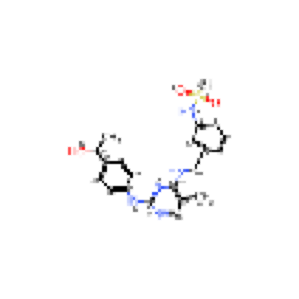 CCS(=O)(=O)Nc1cccc(CNc2nc(Nc3ccc(C(C)O)cc3)ncc2C(F)(F)F)c1